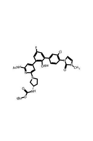 COc1c(-c2cc(NC(C)=O)nc(N3CC[C@H](NC(=O)OC(C)(C)C)C3)c2)cc(F)cc1-c1ccc(-n2ccn(C)c2=O)c(Cl)c1